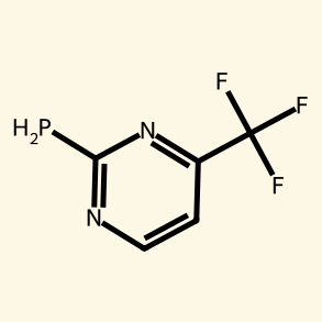 FC(F)(F)c1ccnc(P)n1